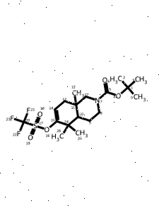 CC(C)(C)OC(=O)N1CCC2C(C)(CC=C(OS(=O)(=O)C(F)(F)F)C2(C)C)C1